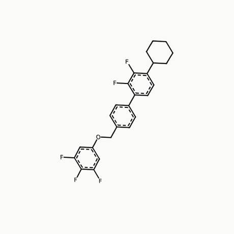 Fc1cc(OCc2ccc(-c3ccc(C4CCCCC4)c(F)c3F)cc2)cc(F)c1F